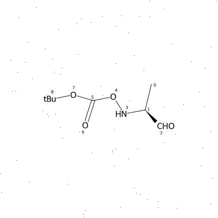 C[C@@H](C=O)NOC(=O)OC(C)(C)C